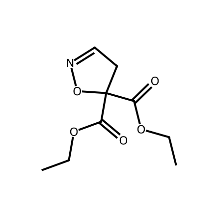 CCOC(=O)C1(C(=O)OCC)CC=NO1